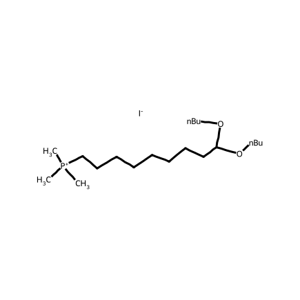 CCCCOC(CCCCCCCC[P+](C)(C)C)OCCCC.[I-]